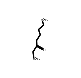 CCCCCCCCCCCCCCC(=O)CCCCCCCCCCC